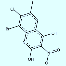 O=[N+]([O-])c1c(O)nc2c(Br)c(Cl)c(I)cc2c1O